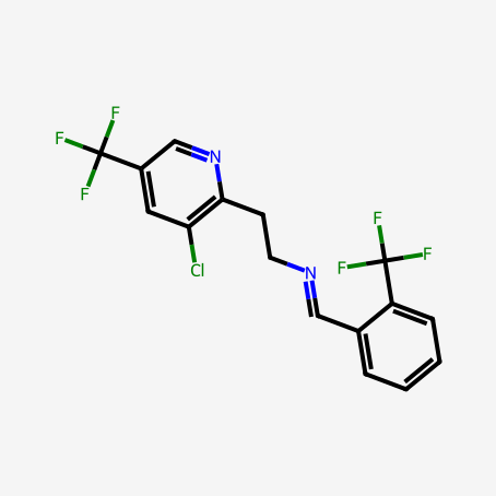 FC(F)(F)c1cnc(CC/N=C/c2ccccc2C(F)(F)F)c(Cl)c1